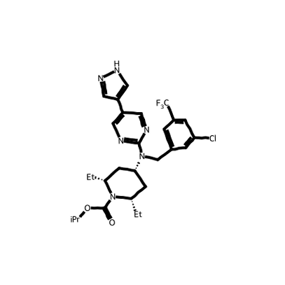 CC[C@@H]1C[C@H](N(Cc2cc(Cl)cc(C(F)(F)F)c2)c2ncc(-c3cn[nH]c3)cn2)C[C@H](CC)N1C(=O)OC(C)C